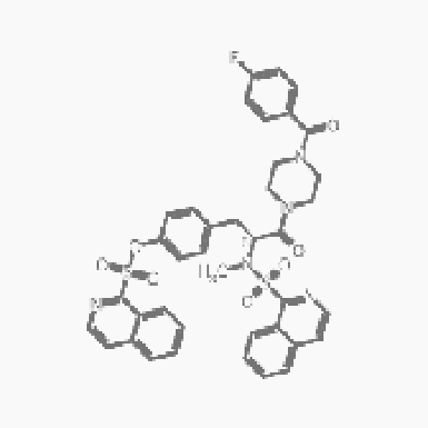 CN([C@@H](Cc1ccc(OS(=O)(=O)c2nccc3ccccc23)cc1)C(=O)N1CCN(C(=O)c2ccc(F)cc2)CC1)S(=O)(=O)c1nccc2ccccc12